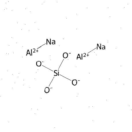 [Na][Al+2].[Na][Al+2].[O-][Si]([O-])([O-])[O-]